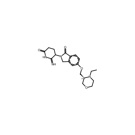 CCN1CCOC[C@H]1COc1ccc2c(c1)CN(C1CCC(=O)NC1=N)C2=O